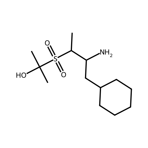 CC(C(N)CC1CCCCC1)S(=O)(=O)C(C)(C)O